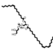 CCCCC/C=C\C/C=C\CCCCCCCCCCCC(=O)O[C@H](COC(=O)CCCCCCC/C=C\CCCCCC)COP(=O)(O)OC[C@@H](O)CO